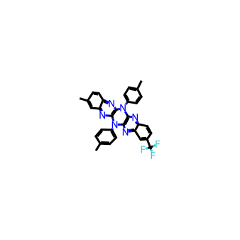 Cc1ccc(N2c3nc4ccc(C)cc4nc3N(c3ccc(C)cc3)c3nc4cc(C(F)(F)F)ccc4nc32)cc1